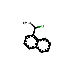 CCCCCCC(Cl)c1cccc2ccccc12